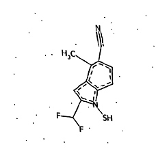 Cc1c(C#N)ccc2c1cc(C(F)F)n2S